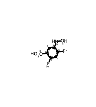 O=C(O)c1cc(NO)c(F)cc1F